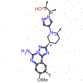 COc1cc2nc(N)n3nc([C@@H]4CC[C@H](C)N(c5cnn([C@H](C)[C@H](C)O)c5)C4)nc3c2cc1F